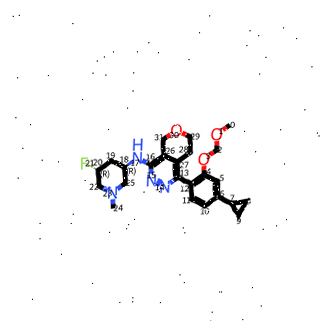 COCOc1cc(C2CC2)ccc1-c1nnc(N[C@@H]2C[C@@H](F)CN(C)C2)c2c1CCOC2